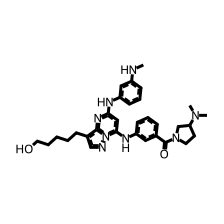 CNc1cccc(Nc2cc(Nc3cccc(C(=O)N4CCC(N(C)C)C4)c3)n3ncc(CCCCCO)c3n2)c1